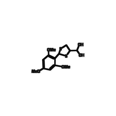 COc1cc(OC)c(C2SCC(C(O)O)S2)c(OC)c1